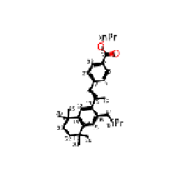 CCCOC(=O)c1ccc(C=C(C)c2cc3c(cc2CC(C)C)C(C)(C)CCC3(C)C)cc1